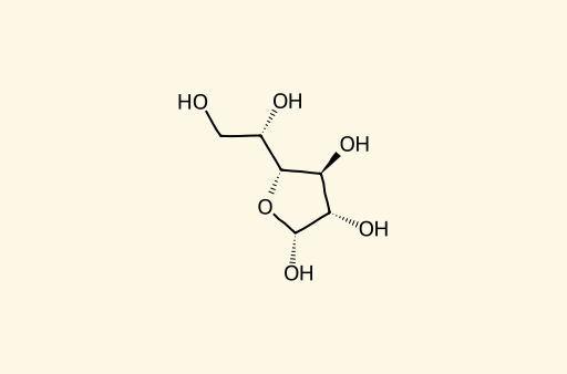 OC[C@H](O)[C@H]1O[C@@H](O)[C@@H](O)[C@@H]1O